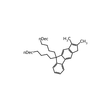 CCCCCCCCCCCCCCC1(CCCCCCCCCCCCCC)c2ccccc2-c2cc3c(cc21)C(C)=C(C)C3